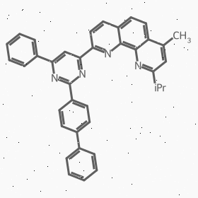 Cc1cc(C(C)C)nc2c1ccc1ccc(-c3cc(-c4ccccc4)nc(-c4ccc(-c5ccccc5)cc4)n3)nc12